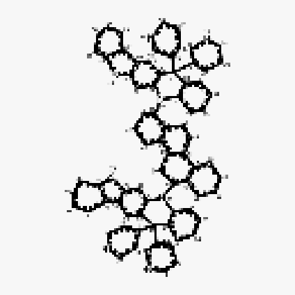 c1cncc(C2(c3ccncc3)c3ccccc3N(c3cc4c5cccc(N6c7ccccc7C(c7cccnc7)(c7cccnc7)c7cc8c(cc76)sc6ccccc68)c5ccc4c4ccccc34)c3cc4sc5ccccc5c4cc32)c1